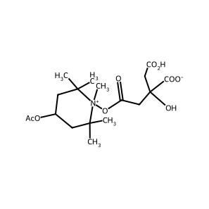 CC(=O)OC1CC(C)(C)[N+](C)(OC(=O)CC(O)(CC(=O)O)C(=O)[O-])C(C)(C)C1